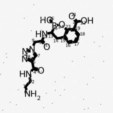 NCCNC(=O)c1cn(CC(=O)NC2Cc3cccc(C(=O)O)c3OB2O)nn1